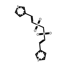 O=S(=O)(/C=C/c1ccsc1)CS(=O)(=O)/C=C/c1ccsc1